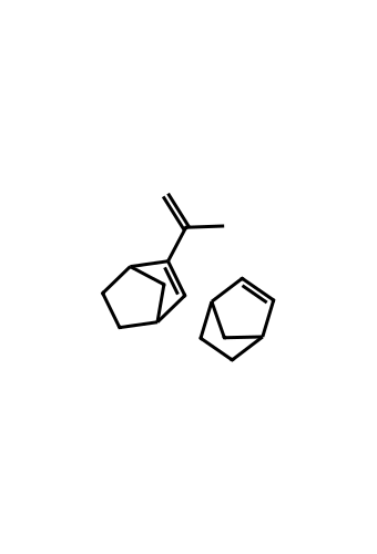 C1=CC2CCC1C2.C=C(C)C1=CC2CCC1C2